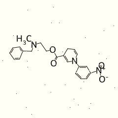 CN(CCOC(=O)C1=CN(c2cccc([N+](=O)[O-])c2)C=CC1)Cc1ccccc1